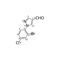 O=Cc1cnn(-c2ccc(Cl)cc2Br)c1